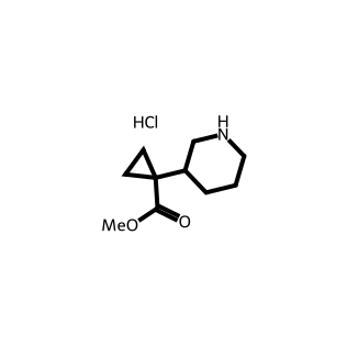 COC(=O)C1(C2CCCNC2)CC1.Cl